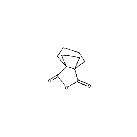 O=C1OC(=O)C23CCCCC12CC3